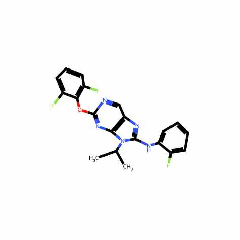 CC(C)n1c(Nc2ccccc2F)nc2cnc(Oc3c(F)cccc3F)nc21